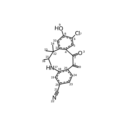 C=C1C(=O)c2cc(Cl)c(O)cc2C(C)(C)C(C)Nc2cc(C#N)ccc21